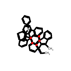 C/C=C\C1=C(C)c2ccccc2C12c1ccccc1C1(C3=C(CCC=C3)c3ccccc31)c1c(N(c3ccccc3)c3ccccc3-c3ccccc3)cccc12